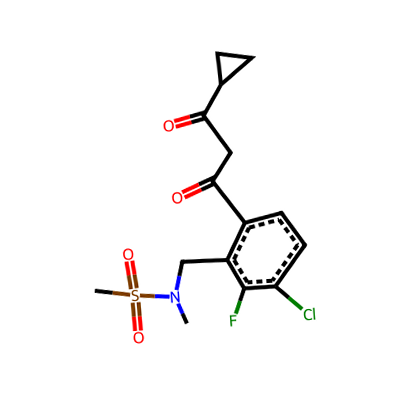 CN(Cc1c(C(=O)CC(=O)C2CC2)ccc(Cl)c1F)S(C)(=O)=O